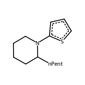 CCCCCC1CCCCN1c1cccs1